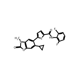 Cn1c(=O)oc2cc(C3CC3)c(-c3ccc(C(=O)Nc4c(F)cccc4F)s3)cc21